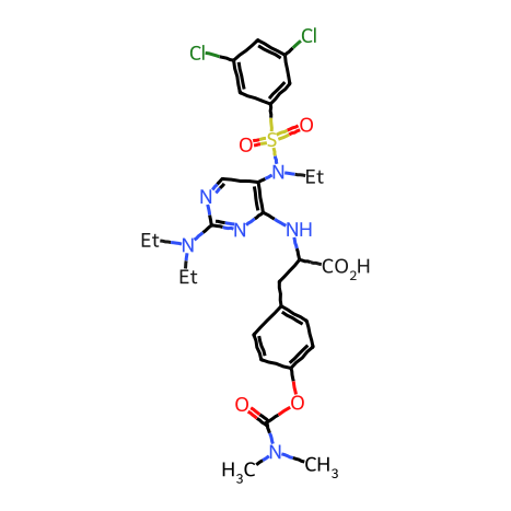 CCN(CC)c1ncc(N(CC)S(=O)(=O)c2cc(Cl)cc(Cl)c2)c(NC(Cc2ccc(OC(=O)N(C)C)cc2)C(=O)O)n1